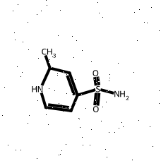 CC1C=C(S(N)(=O)=O)C=CN1